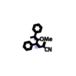 C=C(C#N)/C=C(\C(OC)=C(/C)c1ccccc1)c1ccccc1